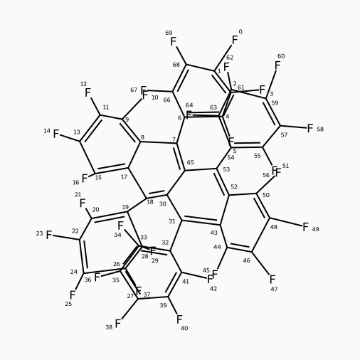 Fc1c(F)c(F)c(-c2c3c(F)c(F)c(F)c(F)c3c(-c3c(F)c(F)c(F)c(F)c3F)c3c(-c4c(F)c(F)c(F)c(F)c4F)c4c(F)c(F)c(F)c(F)c4c(-c4c(F)c(F)c(F)c(F)c4F)c23)c(F)c1F